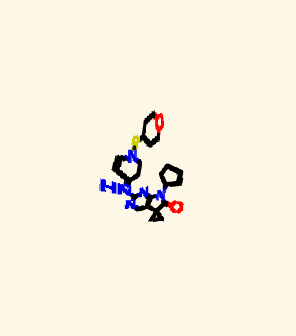 O=C1N(C2CCCC2)c2nc(NC3CCN(SC4CCOCC4)CC3)ncc2C12CC2